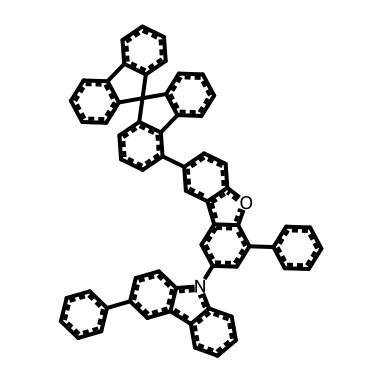 c1ccc(-c2ccc3c(c2)c2ccccc2n3-c2cc(-c3ccccc3)c3oc4ccc(-c5cccc6c5-c5ccccc5C65c6ccccc6-c6ccccc65)cc4c3c2)cc1